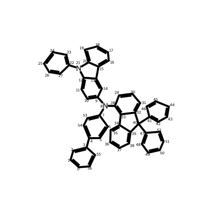 c1ccc(-c2ccc(N(c3ccc4c(c3)c3ccccc3n4-c3ccccc3)c3cccc4c3-c3ccccc3C4(c3ccccc3)c3ccccc3)cc2)cc1